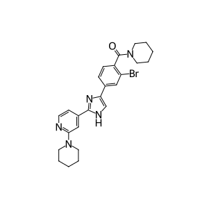 O=C(c1ccc(-c2c[nH]c(-c3ccnc(N4CCCCC4)c3)n2)cc1Br)N1CCCCC1